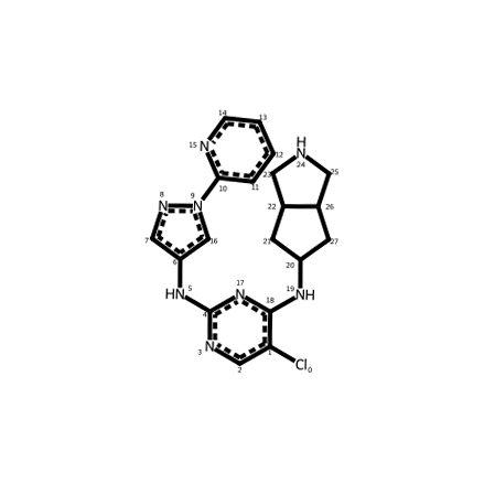 Clc1cnc(Nc2cnn(-c3ccccn3)c2)nc1NC1CC2CNCC2C1